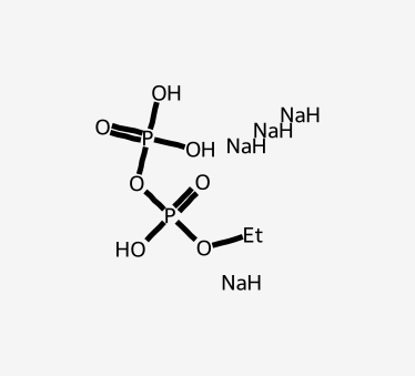 CCOP(=O)(O)OP(=O)(O)O.[NaH].[NaH].[NaH].[NaH]